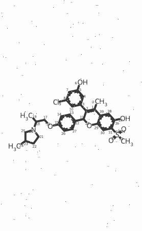 CC1=C(c2cc(O)cc(Cl)c2)C(c2ccc(OCC(C)N3CCC(C)C3)cc2)Oc2cc(S(C)(=O)=O)c(O)cc21